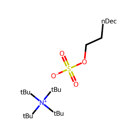 CC(C)(C)[N+](C(C)(C)C)(C(C)(C)C)C(C)(C)C.CCCCCCCCCCCCOS(=O)(=O)[O-]